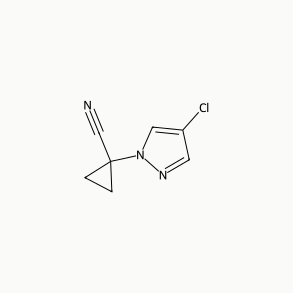 N#CC1(n2cc(Cl)cn2)CC1